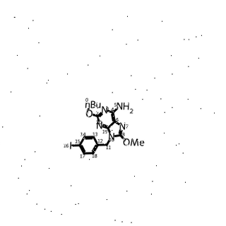 CCCCOc1nc(N)c2nc(OC)n(Cc3ccc(I)cc3)c2n1